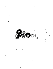 Cc1ccc(S(=O)(=O)CCC2(c3ccccc3)CCO2)cc1